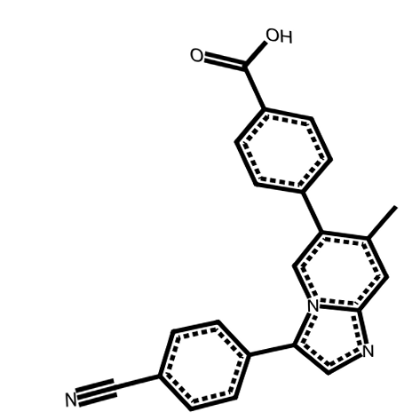 Cc1cc2ncc(-c3ccc(C#N)cc3)n2cc1-c1ccc(C(=O)O)cc1